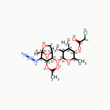 CC(=O)O[C@H]1C(N=[N+]=[N-])[C@@H]2OCC(O2)[C@H]1O[C@@H]1OC(C)[C@@H](OC(=O)CCl)[C@H](C)C1C